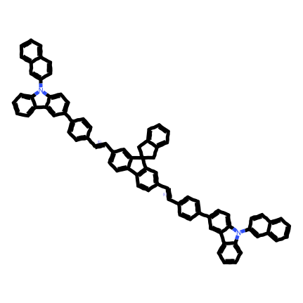 C(=C\c1ccc2c(c1)C1(Cc3ccccc3C1)c1cc(/C=C/c3ccc(-c4ccc5c(c4)c4ccccc4n5-c4ccc5ccccc5c4)cc3)ccc1-2)/c1ccc(-c2ccc3c(c2)c2ccccc2n3-c2ccc3ccccc3c2)cc1